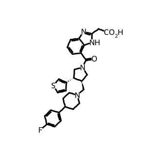 O=C(O)Cc1nc2cccc(C(=O)N3C[C@@H](CN4CCC(c5ccc(F)cc5)CC4)[C@H](c4ccsc4)C3)c2[nH]1